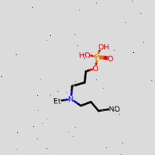 CCN(CCCN=O)CCCOP(=O)(O)O